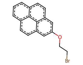 BrCCOc1cc2ccc3cccc4ccc(c1)c2c34